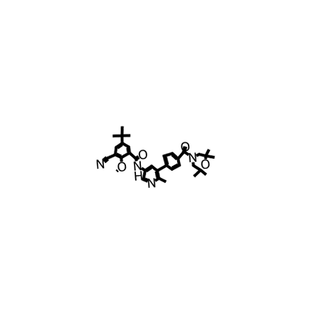 COc1c(C#N)cc(C(C)(C)C)cc1C(=O)Nc1cnc(C)c(-c2ccc(C(=O)N3CC(C)(C)OC(C)(C)C3)cc2)c1